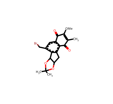 COC1=C(C)C(=O)c2c(cc(CBr)c3c2CC2OC(C)(C)OC32)C1=O